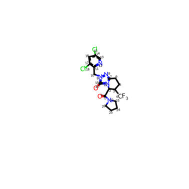 O=C(C1C(C(F)(F)F)CCc2nn(Cc3ncc(Cl)cc3Cl)c(=O)n21)N1CCCC1